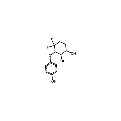 Oc1ccc(OC2C(O)C(O)CCC2(F)F)cc1